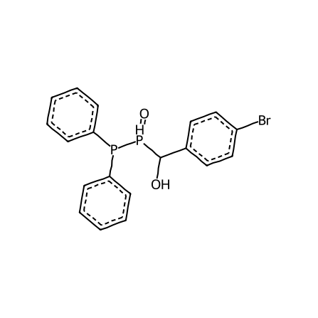 O=[PH](C(O)c1ccc(Br)cc1)P(c1ccccc1)c1ccccc1